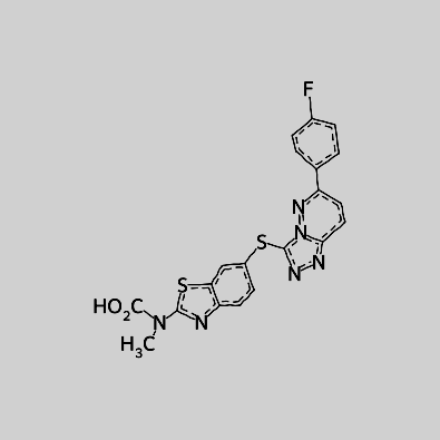 CN(C(=O)O)c1nc2ccc(Sc3nnc4ccc(-c5ccc(F)cc5)nn34)cc2s1